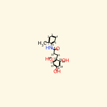 Cc1ccccc1NC(=O)CCc1c(O)cc(O)cc1O